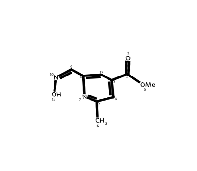 COC(=O)c1cc(C)nc(/C=N\O)c1